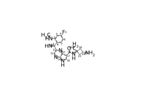 CNc1cc(F)ccc1C(=N)c1cnc2[nH]cc(C(=O)NC3(C)CC(N)C3)c2n1